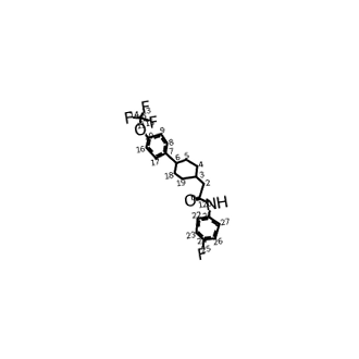 O=C(CC1CCC(c2ccc(OC(F)(F)F)cc2)CC1)Nc1ccc(F)cc1